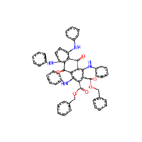 O=C(OCc1ccccc1)c1c(Nc2ccccc2)c2c(c(Nc3ccccc3)c1C(=O)OCc1ccccc1)C(=O)c1c(Nc3ccccc3)ccc(Nc3ccccc3)c1C2=O